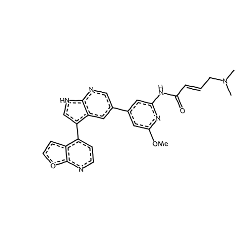 COc1cc(-c2cnc3[nH]cc(-c4ccnc5occc45)c3c2)cc(NC(=O)/C=C/CN(C)C)n1